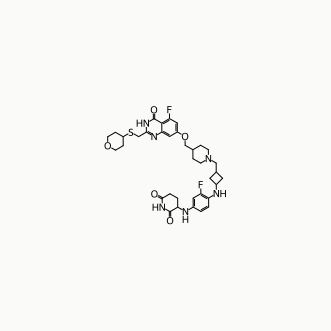 O=C1CCC(Nc2ccc(NC3CC(CN4CCC(COc5cc(F)c6c(=O)[nH]c(CSC7CCOCC7)nc6c5)CC4)C3)c(F)c2)C(=O)N1